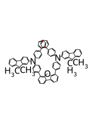 CC1(C)c2ccccc2-c2ccc(N(c3ccc(-c4ccccc4)cc3)c3ccc(-c4cccc5c4oc4c(-c6ccc(N(c7ccc(-c8ccccc8)cc7)c7ccc8c(c7)C(C)(C)c7ccccc7-8)cc6)cccc45)cc3)cc21